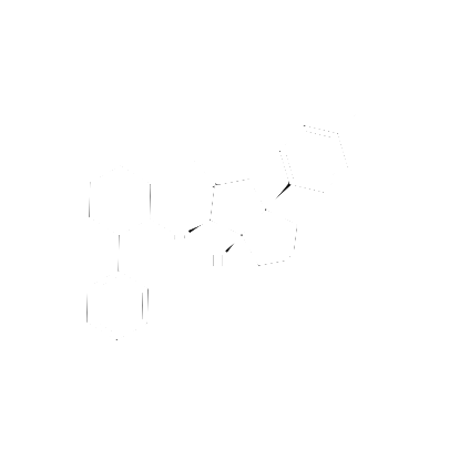 Cc1ccc([C@@]23CSC[C@@H]2[C@@H](OC2CCCCC2c2ccccc2)C(=O)C3)cc1